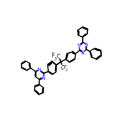 FC(F)(F)C(c1ccc(-c2nc(-c3ccccc3)cc(-c3ccccc3)n2)cc1)(c1ccc(-c2nc(-c3ccccc3)nc(-c3ccccc3)n2)cc1)C(F)(F)F